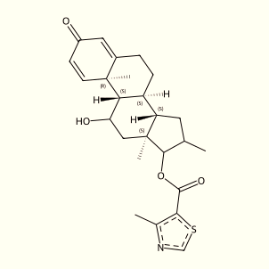 Cc1ncsc1C(=O)OC1C(C)C[C@H]2[C@@H]3CCC4=CC(=O)C=C[C@]4(C)[C@H]3C(O)C[C@]12C